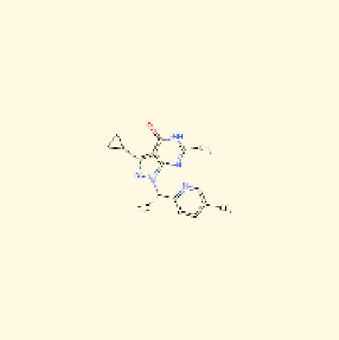 Cc1nc2c(c(C3CC3)nn2[C@@H](C)c2ccc(C(F)(F)F)cn2)c(=O)[nH]1